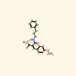 COc1ccc(C=C(C(C)=O)C(=O)NCCCc2ccccc2)cc1